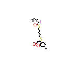 CCCC(I)C(=O)SCCCCCSc1cc(=O)oc2cc(CC)ccc12